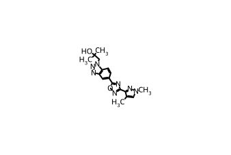 Cc1cn(C)nc1-c1noc(-c2ccc3c(c2)nnn3CC(C)(C)O)n1